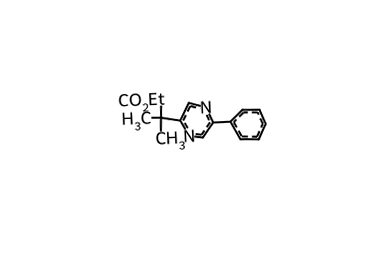 CCOC(=O)C(C)(C)c1cnc(-c2ccccc2)cn1